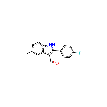 Cc1ccc2[nH]c(-c3ccc(F)cc3)c(C=O)c2c1